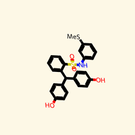 CSc1cccc(NS(=O)(=O)c2ccccc2C(c2ccc(O)cc2)c2ccc(O)cc2)c1